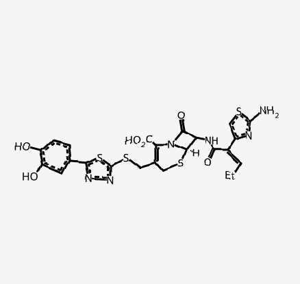 CC/C=C(\C(=O)NC1C(=O)N2C(C(=O)O)=C(CSc3nnc(-c4ccc(O)c(O)c4)s3)CS[C@H]12)c1csc(N)n1